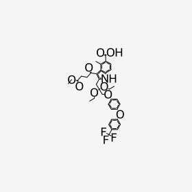 CCOC(COc1ccc(Oc2ccc(C(F)(F)F)cc2)cc1)(Cc1[nH]c2ccc(C(=O)O)c(C)c2c1C(=O)CCC(=O)OC)OCC